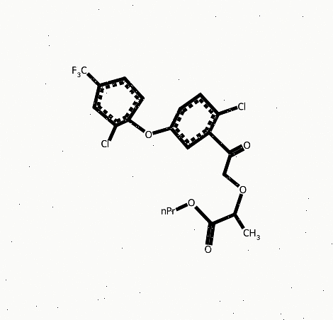 CCCOC(=O)C(C)OCC(=O)c1cc(Oc2ccc(C(F)(F)F)cc2Cl)ccc1Cl